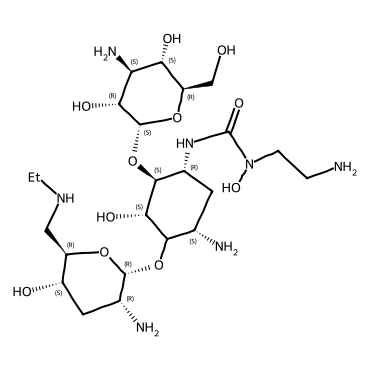 CCNC[C@H]1O[C@H](OC2[C@@H](N)C[C@@H](NC(=O)N(O)CCN)[C@H](O[C@H]3O[C@H](CO)[C@@H](O)[C@H](N)[C@H]3O)[C@H]2O)[C@H](N)C[C@@H]1O